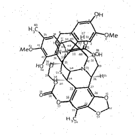 COc1cc2c(cc1O)CCN[C@]21CS[C@@H]2c3c(OC(=O)OCCl)c(C)c4c(c3[C@H](COC1=O)N1C2[C@H]2c3c(cc(C)c(OC)c3O)C[C@@H]([C@@H]1O)N2C)OCO4